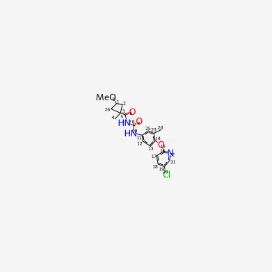 COC1CC(C)(C(=O)NC(=O)Nc2ccc(Oc3ccc(Cl)cn3)c(C)c2)C1